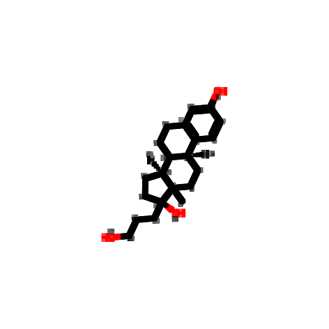 CC12CC[C@@H]3c4ccc(O)cc4CCC3[C@@H]1CC[C@@]2(O)CCCO